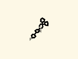 Fc1ccc(-c2ccc([SiH]3CCC(c4ccccc4)(c4ccccc4)CC3)cc2)cc1